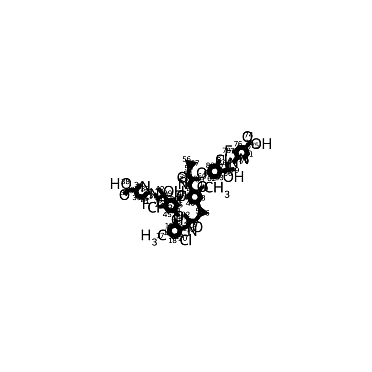 COc1cc(C2CC2c2onc(-c3c(Cl)cc(C)cc3Cl)c2COc2ccc(C3(O)CN(c4ncc(C(=O)O)cc4F)C3)c(Cl)c2)cc(OC)c1-c1noc(C2CC2)c1COc1ccc(C2(O)CN(c3ncc(C(=O)O)cc3F)C2)c(Cl)c1